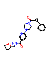 O=C(NCC1CCCO1)c1ccc(N2CCN(C(=O)C3CC3c3ccccc3)CC2)nc1